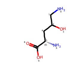 NCC(O)C[C@H](N)C(=O)O